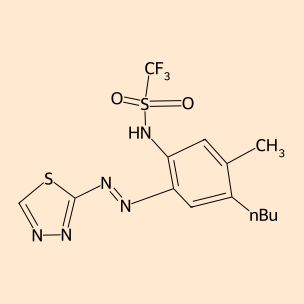 CCCCc1cc(N=Nc2nncs2)c(NS(=O)(=O)C(F)(F)F)cc1C